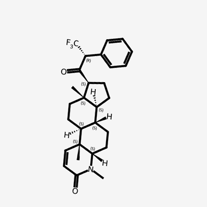 CN1C(=O)C=C[C@@]2(C)[C@@H]1CC[C@@H]1[C@@H]2CC[C@]2(C)[C@@H](C(=O)[C@@H](c3ccccc3)C(F)(F)F)CC[C@@H]12